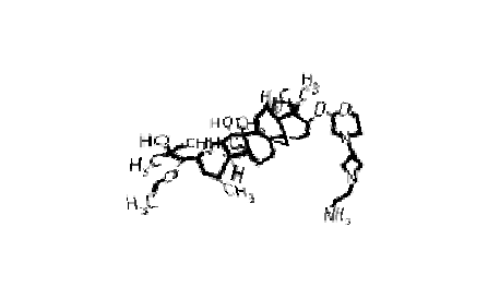 CCO[C@@H](C1C[C@@H](C)[C@H]2C(O1)[C@H](O)[C@@]1(C)C3CC[C@H]4C(C)(C)[C@@H](O[C@H]5CN(C6CN(CCN)C6)CCO5)CC[C@@]45C[C@@]35CC[C@]21C)C(C)(C)O